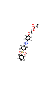 C=CC(=O)OCCOc1ccc(/N=N/c2ccc(S(=O)(=O)c3ccccc3)cc2)cc1